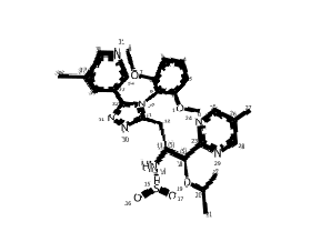 COc1cccc(OC)c1-n1c(C[C@H](N[SH](=O)=O)[C@H](OC(C)C)c2ncc(C)cn2)nnc1-c1cncc(C)c1